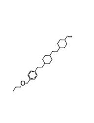 C=CC1CCC(CCC2CCC(CCc3ccc(COCCC)cc3)CC2)CC1